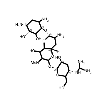 CNC1C(O[C@H]2OC(CO)[C@@H](NC(N)N)C[C@@H]2O)O[C@H]2CC(N)[C@@H](O[C@@H]3C(N)C[C@@H](N)[C@@H](O)C3O)OC2C1O